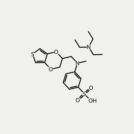 CCN(CC)CC.CN(CC1COc2cscc2O1)c1cccc(S(=O)(=O)O)c1